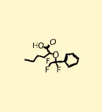 CCCCC(OC(F)(c1ccccc1)C(F)F)C(=O)O